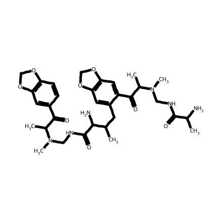 CC(N)C(=O)NCN(C)C(C)C(=O)c1cc2c(cc1CC(C)C(N)C(=O)NCN(C)C(C)C(=O)c1ccc3c(c1)OCO3)OCO2